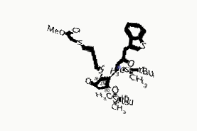 COC(=O)CSCCCS[C@H]1C(=O)C[C@@H](O[Si](C)(C)C(C)(C)C)[C@@H]1/C=C/C(Cc1csc2ccccc12)O[Si](C)(C)C(C)(C)C